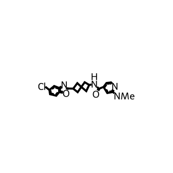 CNc1cc(C(=O)NC2CC3(C2)CC(c2nc4cc(Cl)ccc4o2)C3)ccn1